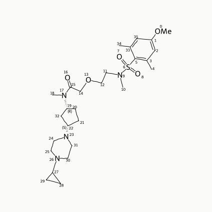 COc1cc(C)c(S(=O)(=O)N(C)CCOCC(=O)N(C)[C@@H]2CC[C@H](N3CCN(C4CC4)CC3)C2)c(C)c1